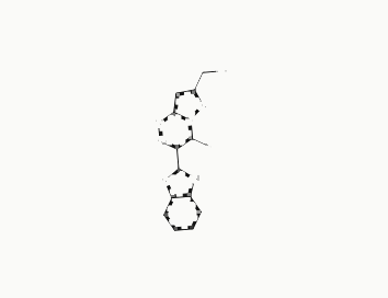 Nc1c(-c2nc3ccccc3[nH]2)nnc2cc(CO)nn12